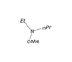 CCCN(CC)OC